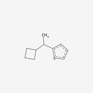 CC(c1cccs1)C1CCC1